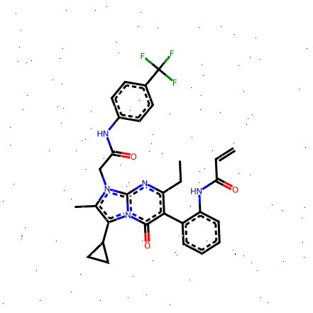 C=CC(=O)Nc1ccccc1-c1c(CC)nc2n(CC(=O)Nc3ccc(C(F)(F)F)cc3)c(C)c(C3CC3)n2c1=O